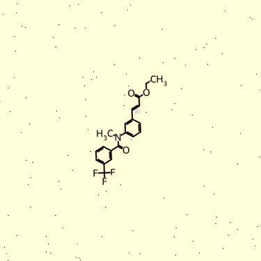 CCOC(=O)/C=C/c1cccc(N(C)C(=O)c2cccc(C(F)(F)F)c2)c1